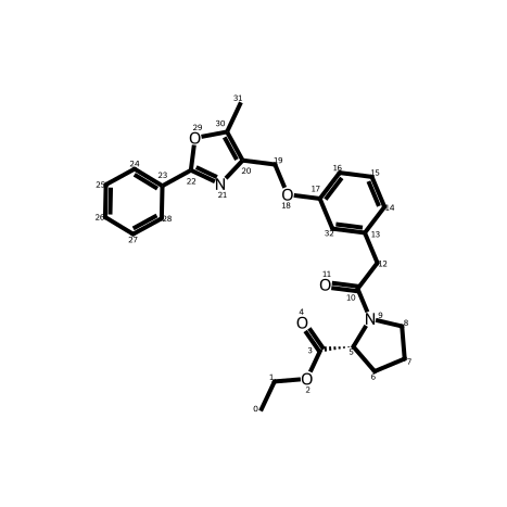 CCOC(=O)[C@H]1CCCN1C(=O)Cc1cccc(OCc2nc(-c3ccccc3)oc2C)c1